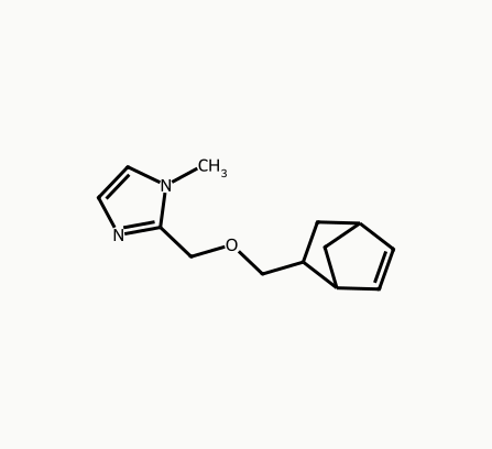 Cn1ccnc1COCC1CC2C=CC1C2